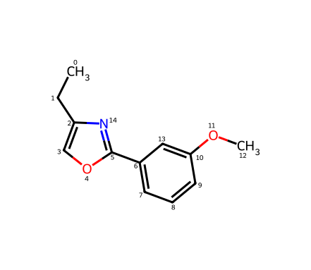 CCc1coc(-c2cccc(OC)c2)n1